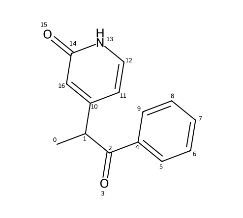 CC(C(=O)c1ccccc1)c1cc[nH]c(=O)c1